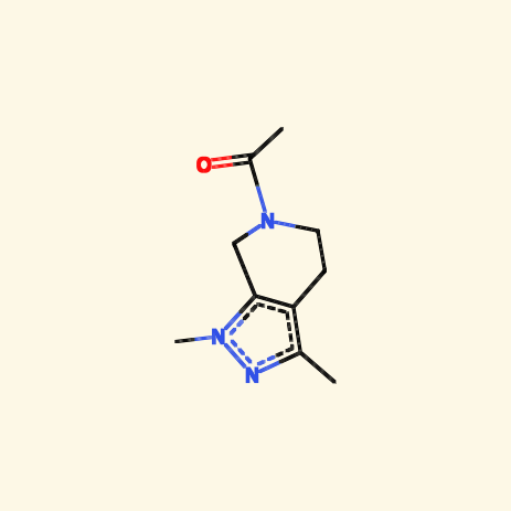 CC(=O)N1CCc2c(C)nn(C)c2C1